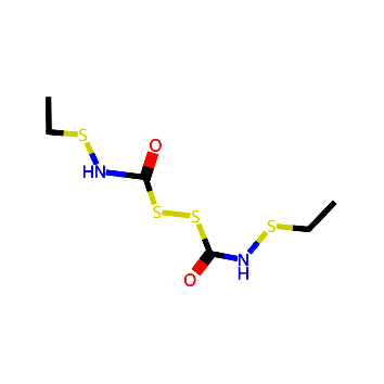 CCSNC(=O)SSC(=O)NSCC